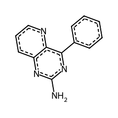 Nc1nc(-c2ccccc2)c2ncccc2n1